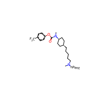 CCCCCN(C)CCCCC[C@H]1CC[C@@H](N(C)C(=O)Oc2ccc(C(F)(F)F)cc2)CC1